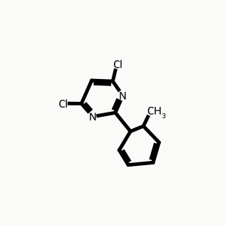 CC1C=CC=CC1c1nc(Cl)cc(Cl)n1